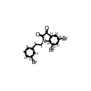 O=C1C(=O)N(CCc2cccc(Br)c2)c2c(Br)cc(Br)cc21